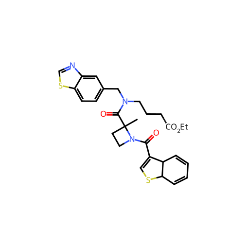 CCOC(=O)CCCN(Cc1ccc2scnc2c1)C(=O)C1(C)CCN1C(=O)C1=CSC2C=CC=CC12